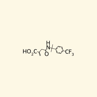 C=C(CC(=O)NC(C)(C)c1ccc(C(F)(F)F)cc1)C(=O)O